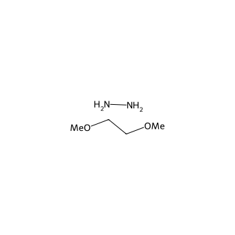 COCCOC.NN